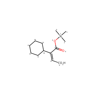 C[Si](C)(C)OC(=O)C(=CC(=O)O)C1CCCCC1